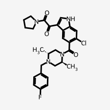 C[C@@H]1CN(C(=O)c2cc3c(C(=O)C(=O)N4CCCC4)c[nH]c3cc2Cl)[C@@H](C)CN1Cc1ccc(F)cc1